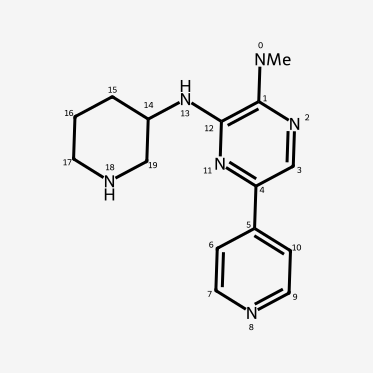 CNc1ncc(-c2ccncc2)nc1NC1CCCNC1